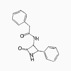 O=C(Cc1ccccc1)NC1C(=O)NC1c1ccccc1